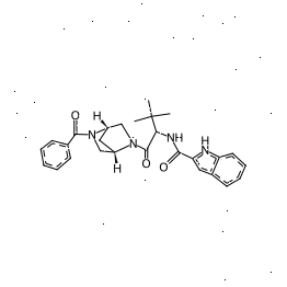 CC(C)(C)C(NC(=O)c1cc2ccccc2[nH]1)C(=O)N1C[C@@H]2C[C@H]1CN2C(=O)c1ccccc1